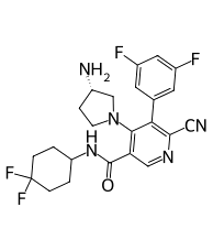 N#Cc1ncc(C(=O)NC2CCC(F)(F)CC2)c(N2CC[C@H](N)C2)c1-c1cc(F)cc(F)c1